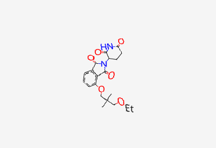 CCOCC(C)(C)COc1cccc2c1C(=O)N(C1CCC(=O)NC1=O)C2=O